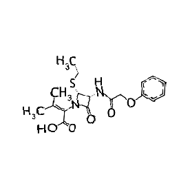 CCS[C@@H]1[C@H](NC(=O)COc2ccccc2)C(=O)N1C(C(=O)O)=C(C)C